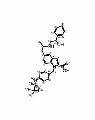 CC(Cc1ccc2c(c1)cc(C(=O)O)n2Cc1ccc(N(C)S(=O)(=O)C(F)(F)F)cc1)NCC(O)c1ccccc1